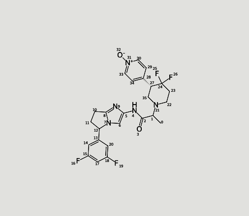 CC(C(=O)Nc1cn2c(n1)CCC2c1cc(F)cc(F)c1)N1CCC(F)(F)[C@@H](c2cc[n+]([O-])cc2)C1